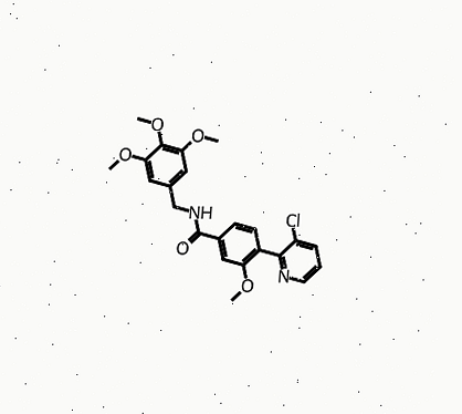 COc1cc(C(=O)NCc2cc(OC)c(OC)c(OC)c2)ccc1-c1ncccc1Cl